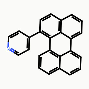 c1cc2cccc3c4c(-c5ccncc5)ccc5cccc(c(c1)c23)c54